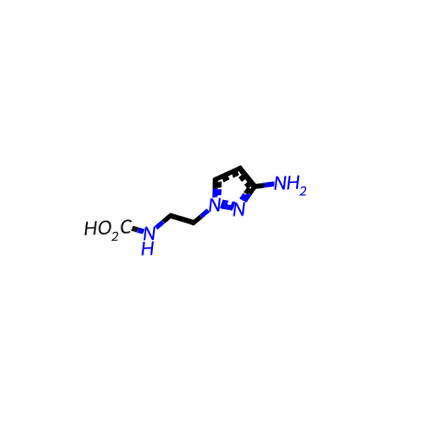 Nc1ccn(CCNC(=O)O)n1